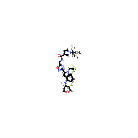 CC(C)(C)n1ccc(C(=O)NCc2nc(-c3cc4c(N[C@@H]5CCOC[C@H]5F)cccc4n3CC(F)(F)F)no2)c1